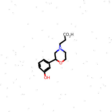 O=C(O)CCN1CCOC(c2cccc(O)c2)C1